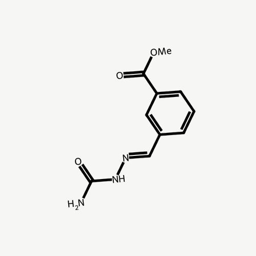 COC(=O)c1cccc(/C=N/NC(N)=O)c1